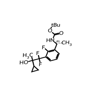 C[C@@H](NC(=O)OC(C)(C)C)c1cccc(C(F)(F)C(C)(O)C2CC2)c1F